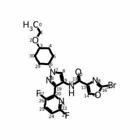 CCO[C@H]1CC[C@H](n2cc(NC(=O)c3coc(Br)n3)c(-c3nc(F)ccc3F)n2)CC1